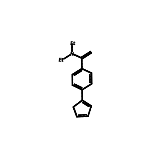 C=C(c1ccc(C2=CC=CC2)cc1)N(CC)CC